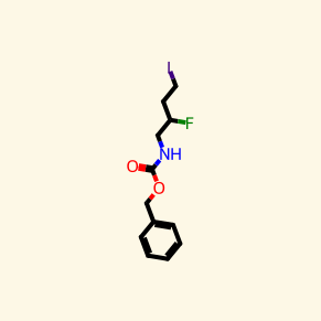 O=C(NCC(F)CCI)OCc1ccccc1